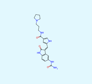 NC(=O)Nc1ccc2c(c1)C(=Cc1cc(C(=O)NCCCN3CCCC3)c[nH]1)C(=O)N2